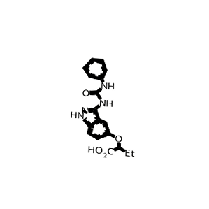 CCC(Oc1ccc2[nH]nc(NC(=O)Nc3ccccc3)c2c1)C(=O)O